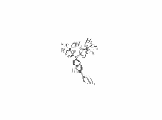 Cc1cc2cc(N(C(=O)OC(C)(C)C)C(=O)OC(C)(C)C)ccc2[nH]1